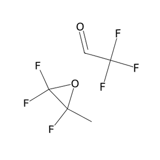 CC1(F)OC1(F)F.O=CC(F)(F)F